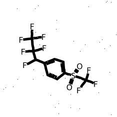 O=S(=O)(c1ccc(C(F)C(F)(F)C(F)(F)F)cc1)C(F)(F)F